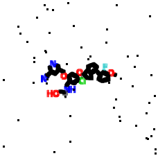 COc1cccc(-c2cccc3c2CC[C@@H]3Oc2cc(OCc3cncc(C#N)c3)c(CN[C@H](C)CO)cc2Cl)c1F